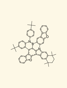 CC(C)(C)c1ccc(N2B3c4cc5c(cc4-n4c6cc7c(cc6c6c8oc9ccccc9c8c(c3c64)-c3cc(C(C)(C)C)ccc32)C(C)(C)CCC7(C)C)oc2ccccc25)cc1